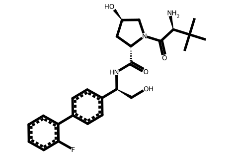 CC(C)(C)[C@H](N)C(=O)N1C[C@H](O)C[C@H]1C(=O)N[C@@H](CO)c1ccc(-c2ccccc2F)cc1